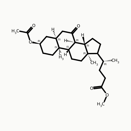 COC(=O)CC[C@@H](C)C1CC[C@H]2[C@@H]3C(=O)C[C@@H]4C[C@H](OC(C)=O)CC[C@]4(C)[C@H]3CC[C@]12C